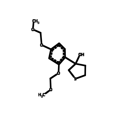 COCOc1ccc(C2(O)CCSC2)c(OCOC)c1